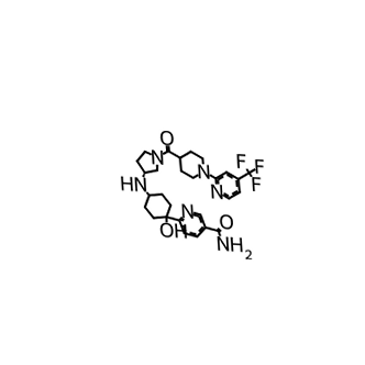 NC(=O)c1ccc(C2(O)CCC(N[C@H]3CCN(C(=O)C4CCN(c5cc(C(F)(F)F)ccn5)CC4)C3)CC2)nc1